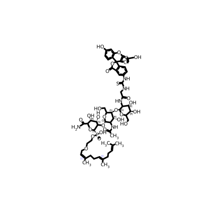 CC(=O)NC1[C@H](OC2[C@@H](O)[C@@H](O)C(C(N)=O)O[C@H]2P(=O)(O)OCCOC/C=C(/C)CC/C=C(\C)CCC=C(C)C)OC(CO)[C@@H](O[C@@H]2OC(CO)[C@H](O)[C@H](O)C2NC(=O)CNC(=S)Nc2ccc3c(c2)C(=O)OC32c3ccc(O)cc3Oc3cc(O)ccc32)[C@@H]1O